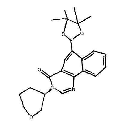 CC1(C)OB(c2cc3c(=O)n([C@@H]4CCCOC4)cnc3c3ccccc23)OC1(C)C